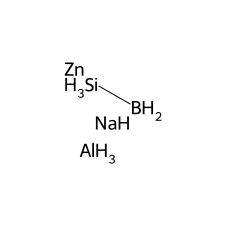 B[SiH3].[AlH3].[NaH].[Zn]